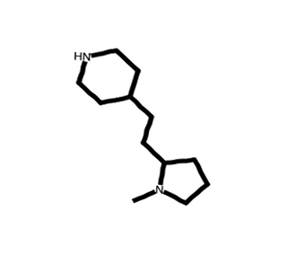 CN1CCCC1CCC1CCNCC1